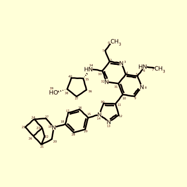 CCc1nc2c(NC)ncc(-c3cnn(-c4ccc(N5CC6CC7C(CC67)C5)cc4)c3)c2nc1N[C@@H]1CC[C@H](O)C1